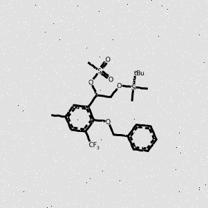 Cc1cc(C(CO[Si](C)(C)C(C)(C)C)OS(C)(=O)=O)c(OCc2ccccc2)c(C(F)(F)F)c1